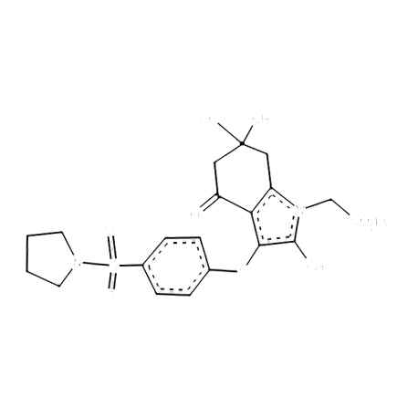 CCOC(=O)Cn1c(C)c(Sc2ccc(S(=O)(=O)N3CCCC3)cc2)c2c1CC(C)(C)CC2=O